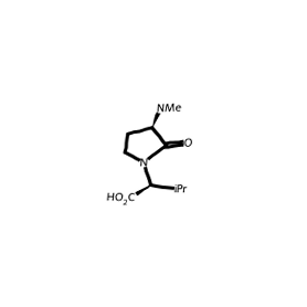 CN[C@@H]1CCN([C@H](C(=O)O)C(C)C)C1=O